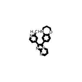 Cc1cc(-c2nc3ncccn3c2-c2ccc3c(c2)NCCCO3)ccn1